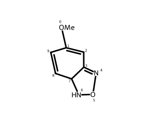 COC1=CC2=NONC2C=C1